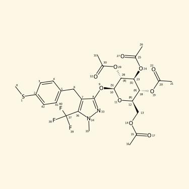 CSc1ccc(Cc2c(O[C@@H]3O[C@H](COC(C)=O)[C@@H](OC(C)=O)[C@H](OC(C)=O)[C@H]3OC(C)=O)nn(C)c2C(F)(F)F)cc1